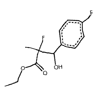 CCOC(=O)C(C)(F)C(O)c1ccc(F)cc1